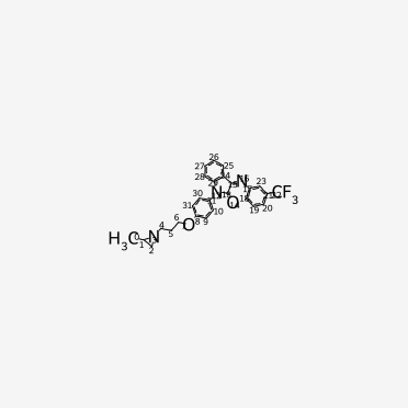 CC1CN1CCCOc1ccc(N2C(=O)C(=Nc3cccc(C(F)(F)F)c3)c3ccccc32)cc1